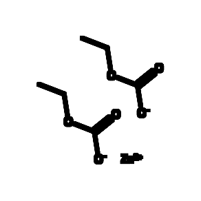 CCOC(=O)[O-].CCOC(=O)[O-].[Zn+2]